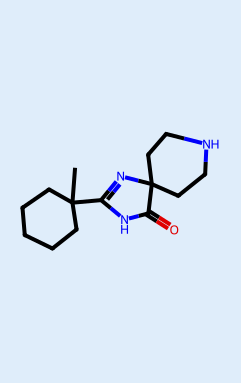 CC1(C2=NC3(CCNCC3)C(=O)N2)CCCCC1